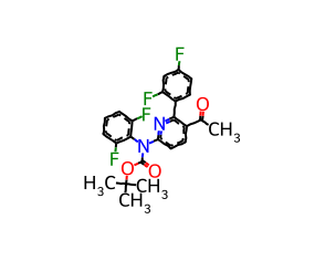 CC(=O)c1ccc(N(C(=O)OC(C)(C)C)c2c(F)cccc2F)nc1-c1ccc(F)cc1F